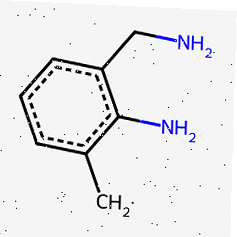 [CH2]c1cccc(CN)c1N